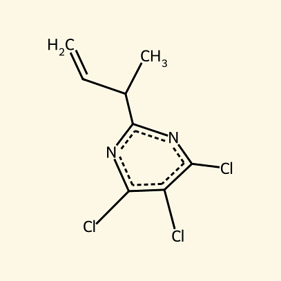 C=CC(C)c1nc(Cl)c(Cl)c(Cl)n1